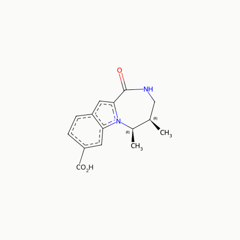 C[C@@H]1CNC(=O)c2cc3ccc(C(=O)O)cc3n2[C@@H]1C